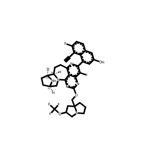 C#Cc1c(F)ccc2cc(O)cc(-c3nc4c5c(nc(OCC67CCCN6CC(OC(F)(F)F)C7)nc5c3F)N3C[C@H]5CC[C@H](N5)[C@H]3CC4)c12